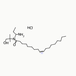 CCCCCCCC/C=C\CCCCCCCC(=O)N(C(N)CC)C(C)(C)CO.Cl